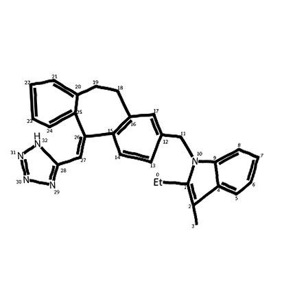 CCc1c(C)c2ccccc2n1Cc1ccc2c(c1)CCc1ccccc1C2=Cc1nnn[nH]1